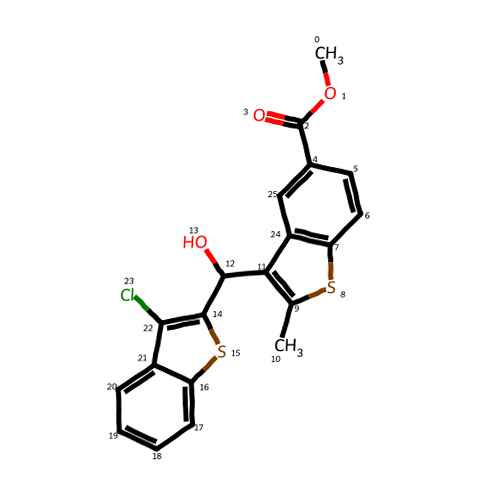 COC(=O)c1ccc2sc(C)c(C(O)c3sc4ccccc4c3Cl)c2c1